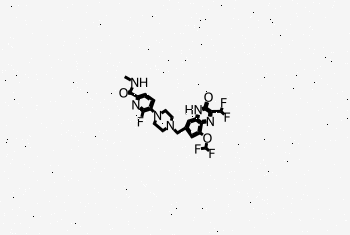 CNC(=O)c1ccc(N2CCN(Cc3cc(OC(F)F)c4nc(C(F)F)c(=O)[nH]c4c3)CC2)c(F)n1